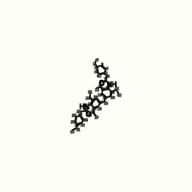 CCc1ccc(CC(=O)Nc2c(CC)cc(Cc3cc(CC)c(NC(=O)Cc4ccc(CC)cc4)c(CC)c3)cc2CC)cc1